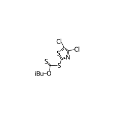 CCC(C)OC(=S)Sc1nc(Cl)c(Cl)s1